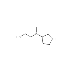 CN(CCO)C1CCNC1